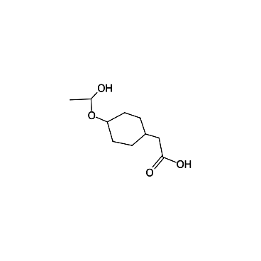 CC(O)OC1CCC(CC(=O)O)CC1